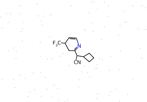 N#CC(C1=NC=CC(C(F)(F)F)C1)C1CCC1